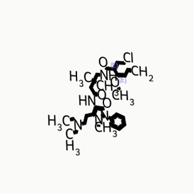 C=C/C=C(OCC)\C(=C/CCl)C(=O)NCC(C)(C)CC(=O)Nc1c(CCN(CC)CC)n(C)n(-c2ccccc2)c1=O